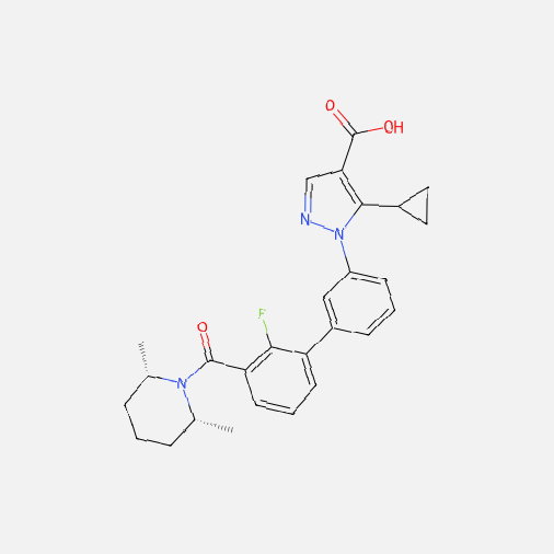 C[C@@H]1CCC[C@H](C)N1C(=O)c1cccc(-c2cccc(-n3ncc(C(=O)O)c3C3CC3)c2)c1F